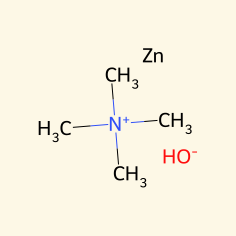 C[N+](C)(C)C.[OH-].[Zn]